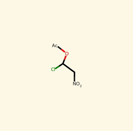 CC(=O)OC(Cl)C[N+](=O)[O-]